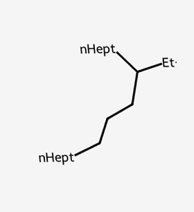 C[CH]C(CCCCCCC)CCCCCCCCCC